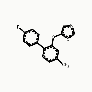 Fc1ccc(-c2ccc(C(F)(F)F)cc2Oc2cncs2)cc1